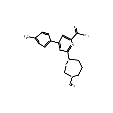 CN1CCCN(c2nc(C(N)=O)cc(-c3ccc(C(F)(F)F)cc3)n2)CC1